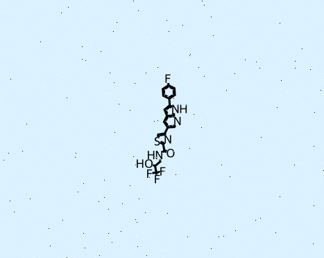 O=C(NCC(O)C(F)(F)F)c1nc(-c2cnc3[nH]c(-c4ccc(F)cc4)cc3c2)cs1